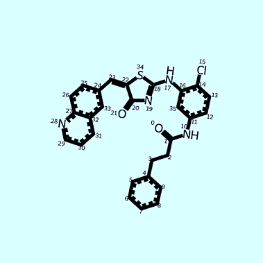 O=C(CCc1ccccc1)Nc1ccc(Cl)c(NC2=NC(=O)C(=Cc3ccc4ncccc4c3)S2)c1